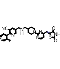 N#Cc1cc(CNCC2CCN(c3nccc(/C=C4\SC(=O)NC4=O)n3)CC2)cnc1-c1ccncc1F